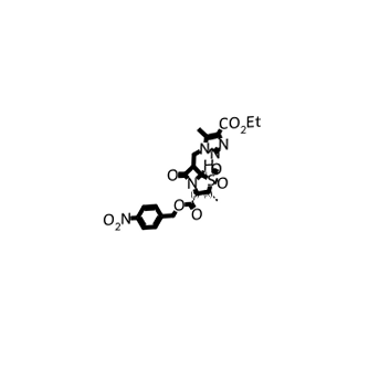 CCOC(=O)c1nnn(CC2C(=O)N3[C@@H](C(=O)OCc4ccc([N+](=O)[O-])cc4)[C@@H](C)S(=O)(=O)[C@@H]23)c1C